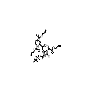 C=CCOC(=O)C(=O)N1C(=O)[C@H]([C@@H](C)O[Si](C)(C)C(C)(C)C)[C@H]1CC(=O)C1CN(C(=O)OCC=C)CCN1C(=O)OCC=C